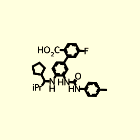 Cc1ccc(NC(=O)Nc2cc(-c3cc(F)ccc3C(=O)O)ccc2NC(C(C)C)C2CCCC2)cc1